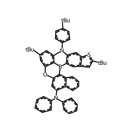 CC(C)(C)c1ccc(N2c3cc4sc(C(C)(C)C)cc4cc3B3c4c(cc(C(C)(C)C)cc42)Oc2cc(N(c4ccccc4)c4ccccc4)c4ccccc4c23)cc1